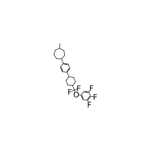 CC1CCCC(c2ccc(C3CCC(C(F)(F)Oc4cc(F)c(F)c(F)c4)CC3)cc2)CC1